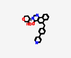 O=c1c2cc(Cc3ccc(-c4ccncc4)cc3)c3ccccc3c2ncn1[C@H]1CCOC[C@@H]1O